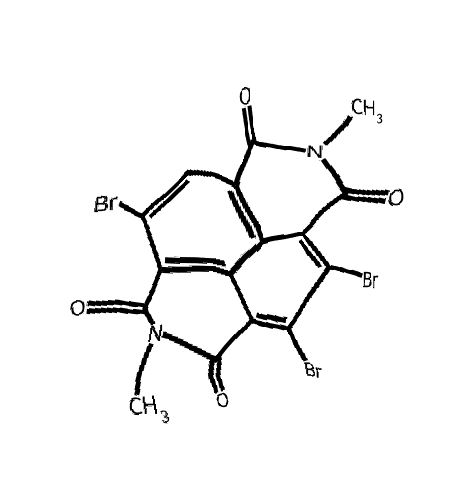 CN1C(=O)c2cc(Br)c3c4c(c(Br)c(Br)c(c24)C1=O)C(=O)N(C)C3=O